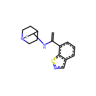 C=C(NC1CN2CCC1CC2)c1cccc2cnsc12